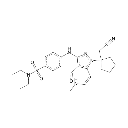 CCN(CC)S(=O)(=O)c1ccc(Nc2nn(C3(CC#N)CCCC3)c(/C=C\NC)c2C=O)cc1